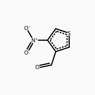 O=Cc1cscc1[N+](=O)[O-]